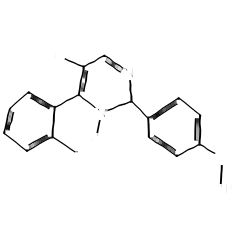 CCCCOc1ccc(C2N=CC(C(=O)O)=C(c3ccccc3F)N2Cl)cc1